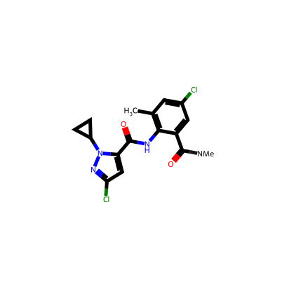 CNC(=O)c1cc(Cl)cc(C)c1NC(=O)c1cc(Cl)nn1C1CC1